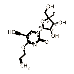 C#Cc1cn([C@@H]2O[C@](F)(CO)[C@@H](O)[C@H]2O)c(=O)nc1OCC=C